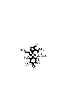 CCCC[Si](C)(C1=CC[C]([Ti+3])=C1C(C)C)c1c(C)c(C)c(C)c(C)c1C.[Cl-].[Cl-].[Cl-]